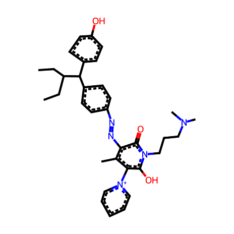 CCC(CC)C(c1ccc(O)cc1)c1ccc(/N=N/c2c(C)c(-[n+]3ccccc3)c(O)n(CCCN(C)C)c2=O)cc1